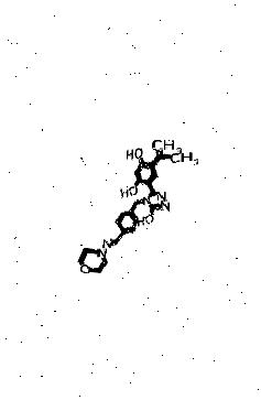 CC(C)c1cc(-c2nnc(O)n2Cc2ccc(/C=N/N3CCOCC3)cc2)c(O)cc1O